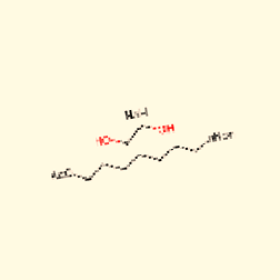 CCCCCCCCCCCCCCCCOC(C)=O.OCCO.[NaH]